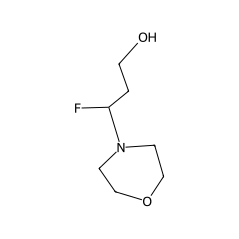 OCCC(F)N1CCOCC1